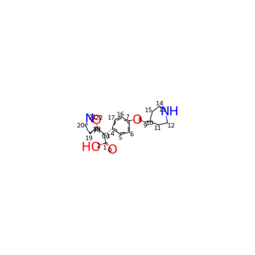 O=C(O)[C@@H](c1ccc(OCC2CCNCC2)cc1)[C@H]1CC=NO1